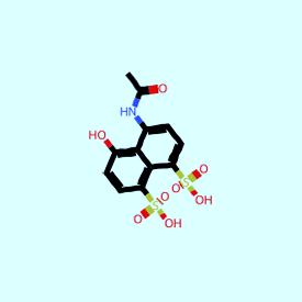 CC(=O)Nc1ccc(S(=O)(=O)O)c2c(S(=O)(=O)O)c[c]c(O)c12